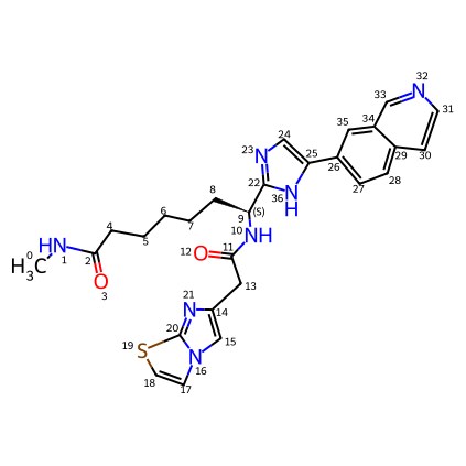 CNC(=O)CCCCC[C@H](NC(=O)Cc1cn2ccsc2n1)c1ncc(-c2ccc3ccncc3c2)[nH]1